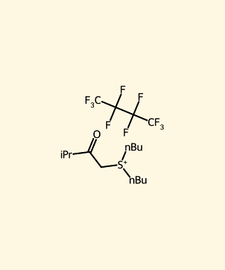 CCCC[S+](CCCC)CC(=O)C(C)C.FC(F)(F)C(F)(F)C(F)(F)C(F)(F)F